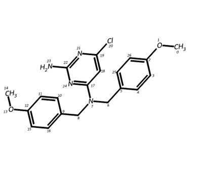 COc1ccc(CN(Cc2ccc(OC)cc2)c2cc(Cl)nc(N)n2)cc1